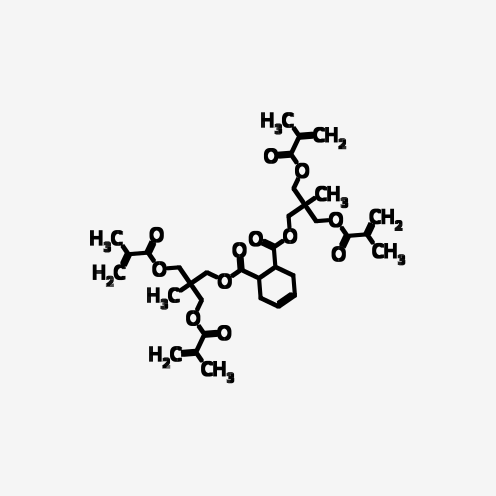 C=C(C)C(=O)OCC(C)(COC(=O)C(=C)C)COC(=O)C1CC=CCC1C(=O)OCC(C)(COC(=O)C(=C)C)COC(=O)C(=C)C